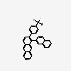 FC(F)(F)c1ccc(-c2ccc3cc4ccccc4cc3c2-c2ccc3ccccc3c2)cc1